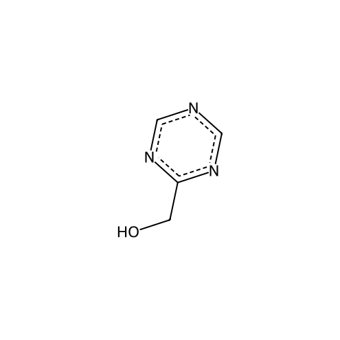 OCc1ncncn1